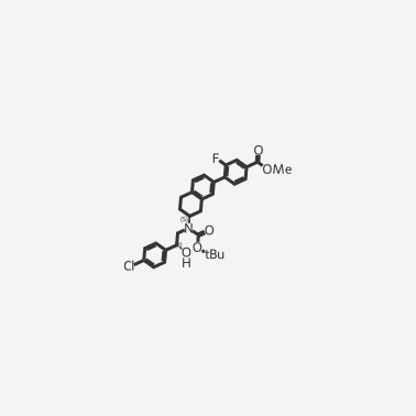 COC(=O)c1ccc(-c2ccc3c(c2)C[C@@H](N(C[C@H](O)c2ccc(Cl)cc2)C(=O)OC(C)(C)C)CC3)c(F)c1